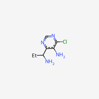 CCC(N)c1ncnc(Cl)c1N